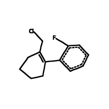 Fc1ccccc1C1=C(CCl)CCCC1